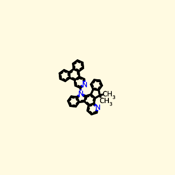 CC1(C)c2ccccc2-c2c1c1ncccc1c1c3ccccc3n(-c3cc4c5ccccc5c5ccccc5c4cn3)c21